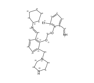 CCc1cccc(C=N)c1OCOc1c(/C=N/C2CCCCC2)cccc1CN1CCNCC1